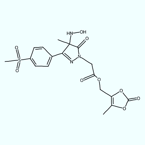 Cc1oc(=O)oc1COC(=O)CN1N=C(c2ccc(S(C)(=O)=O)cc2)C(C)(NO)C1=O